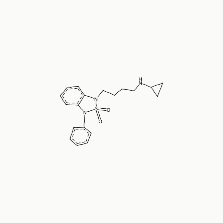 O=S1(=O)N(CCCCNC2CC2)c2ccccc2N1c1ccccc1